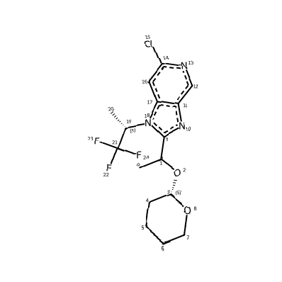 CC(O[C@H]1CCCCO1)c1nc2cnc(Cl)cc2n1[C@@H](C)C(F)(F)F